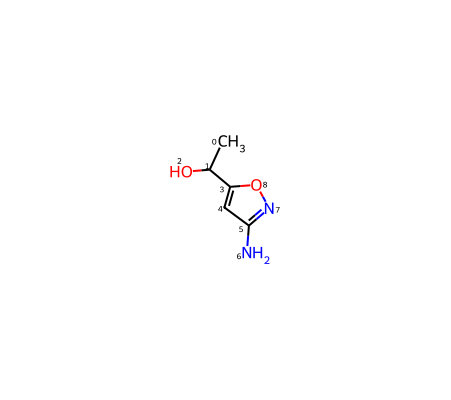 CC(O)c1cc(N)no1